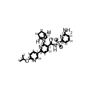 CC(C)Oc1ccc(-c2ccc(C(=O)NS(=O)(=O)c3cccc(N)n3)c(N3C[C@@H]4CC[C@H]3C4)n2)cn1